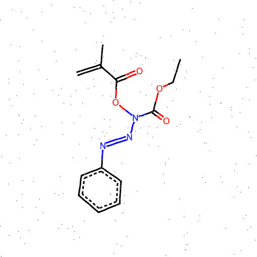 C=C(C)C(=O)ON(/N=N/c1ccccc1)C(=O)OCC